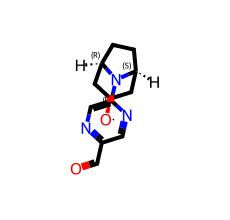 [O][C@H]1C[C@H]2CC[C@@H](C1)N2c1cnc(C=O)cn1